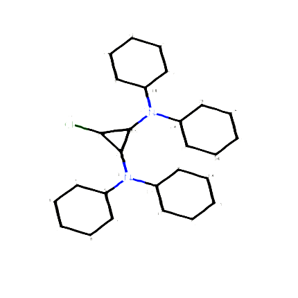 ClC1C(N(C2CCCCC2)C2CCCCC2)C1N(C1CCCCC1)C1CCCCC1